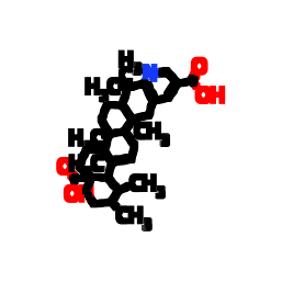 CC1CCC2(C(=O)O)CCC3(C)C(=CCC4C5(C)Cc6cc(C(=O)O)cnc6C(C)(C)C5CCC43C)C2C1C